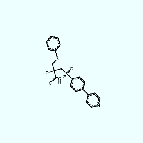 O=C(O)C(O)(CSc1ccccc1)CS(=O)(=O)c1ccc(-c2ccncc2)cc1